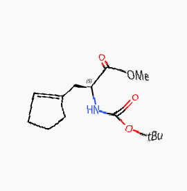 COC(=O)[C@H](CC1=CCCC1)NC(=O)OC(C)(C)C